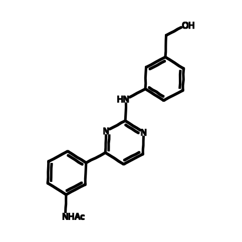 CC(=O)Nc1cccc(-c2ccnc(Nc3cccc(CO)c3)n2)c1